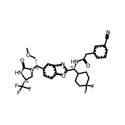 COC[C@H](c1ccc2oc([C@@H](NC(=O)Cc3cccc(C#N)c3)C3CCC(F)(F)CC3)nc2c1)N1C[C@@H](C(F)(F)F)NC1=O